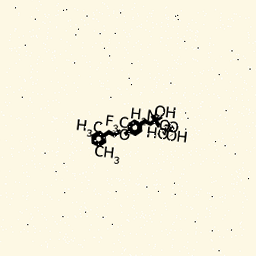 Cc1ccc(C)c(CCCOc2ccc(CCC(N)(CO)COP(=O)(O)O)cc2C(F)(F)F)c1